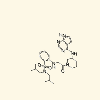 CC(C)CN(CC(C)C)S(=O)(=O)c1ccccc1NCC(=O)N1CCC[C@@H](Nc2ncnc3[nH]ccc23)C1